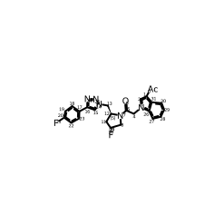 CC(=O)c1cn(CC(=O)N2C[C@H](F)C[C@H]2Cn2cc(-c3ccc(F)cc3)nn2)c2ccccc12